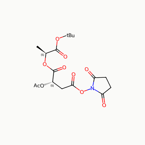 CC(=O)O[C@@H](CC(=O)ON1C(=O)CCC1=O)C(=O)O[C@@H](C)C(=O)OC(C)(C)C